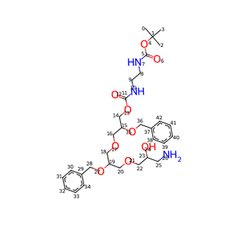 CC(C)(C)OC(=O)NCCNC(=O)OCC(COCC(COCC(O)CN)OCc1ccccc1)OCc1ccccc1